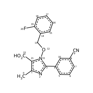 Cc1nc(-c2cccc(C#N)c2)n(OCc2ccccc2F)c1C(=O)O